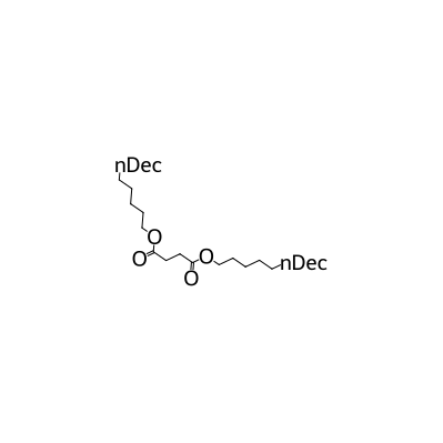 CCCCCCCCCCCCCCCOC(=O)CCC(=O)OCCCCCCCCCCCCCCC